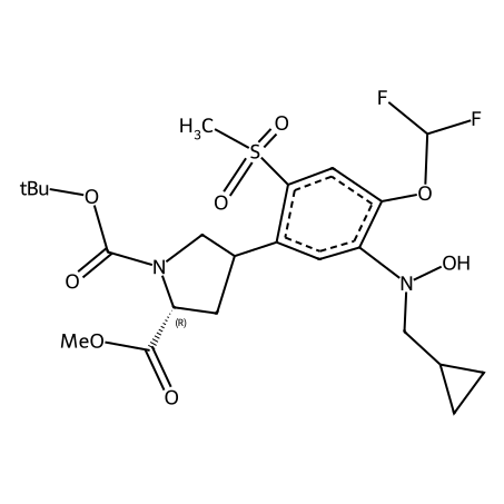 COC(=O)[C@H]1CC(c2cc(N(O)CC3CC3)c(OC(F)F)cc2S(C)(=O)=O)CN1C(=O)OC(C)(C)C